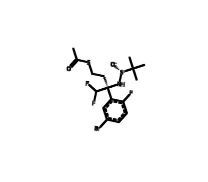 CC(=O)SCC[C@](N[S@+]([O-])C(C)(C)C)(c1cc(Br)ccc1F)C(F)F